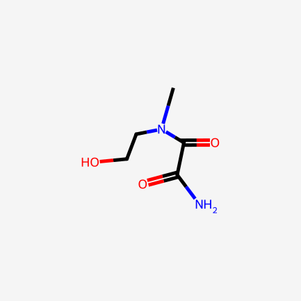 CN(CCO)C(=O)C(N)=O